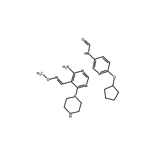 CON=Cc1c(N)ncnc1N1CCNCC1.O=CNc1ccc(OC2CCCC2)nc1